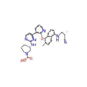 Cc1ccc2c(NC[C@H](C)C#N)cccc2c1Oc1ncccc1-c1ccnc(N[C@H]2CCCN(C(=O)O)C2)n1